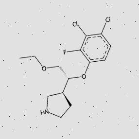 CCOC[C@H](Oc1ccc(Cl)c(Cl)c1F)[C@H]1CCNC1